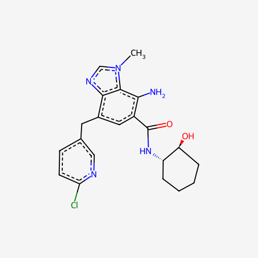 Cn1cnc2c(Cc3ccc(Cl)nc3)cc(C(=O)N[C@H]3CCCC[C@@H]3O)c(N)c21